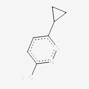 Nc1ccc(C2CC2)nn1